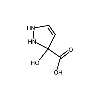 O=C(O)C1(O)C=CNN1